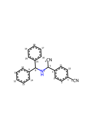 N#Cc1ccc(C(C#N)NC(c2ccccc2)c2ccccc2)cc1